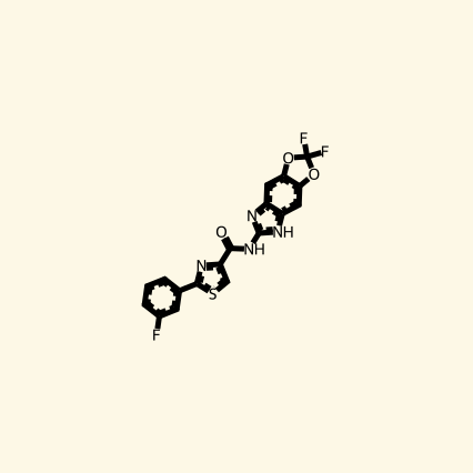 O=C(Nc1nc2cc3c(cc2[nH]1)OC(F)(F)O3)c1csc(-c2cccc(F)c2)n1